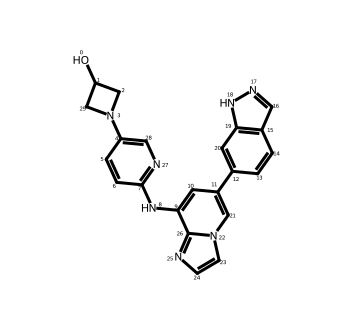 OC1CN(c2ccc(Nc3cc(-c4ccc5cn[nH]c5c4)cn4ccnc34)nc2)C1